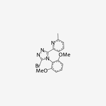 COc1cccc(OC)c1-n1c(Br)nnc1-c1cccc(C)n1